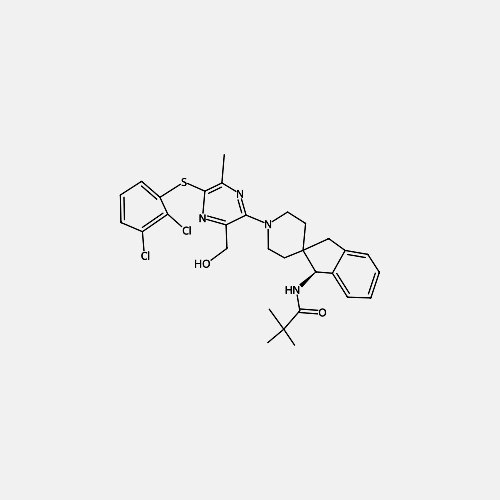 Cc1nc(N2CCC3(CC2)Cc2ccccc2[C@H]3NC(=O)C(C)(C)C)c(CO)nc1Sc1cccc(Cl)c1Cl